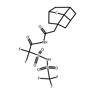 O=C(CC12CC3CC4CC(C1)C42C3)NC(=O)C(F)(F)S(=O)(=O)NS(=O)(=O)C(F)(F)F